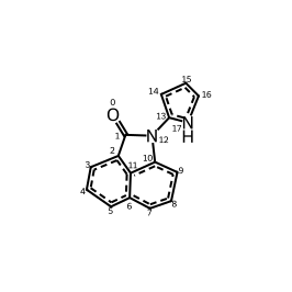 O=C1c2cccc3cccc(c23)N1c1ccc[nH]1